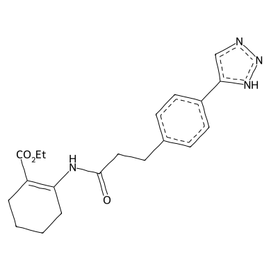 CCOC(=O)C1=C(NC(=O)CCc2ccc(-c3cnn[nH]3)cc2)CCCC1